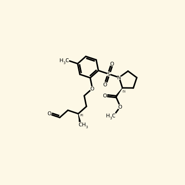 COC(=O)[C@@H]1CCCN1S(=O)(=O)c1ccc(C)cc1OCC[C@@H](C)CC=O